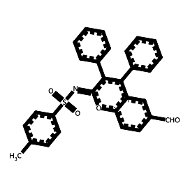 Cc1ccc(S(=O)(=O)N=c2oc3ccc(C=O)cc3c(-c3ccccc3)c2-c2ccccc2)cc1